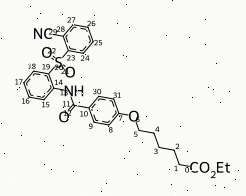 CCOC(=O)CCCCCOc1ccc(C(=O)Nc2ccccc2S(=O)(=O)c2ccccc2C#N)cc1